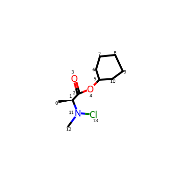 C[C@@H](C(=O)OC1CCCCC1)N(C)Cl